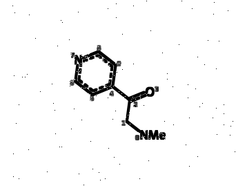 CNCC(=O)c1ccncc1